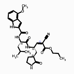 CCCOC(=O)/C(C#N)=C\[C@H](C[C@@H]1CCNC1=O)NC(=O)[C@H](CC(C)C)NC(=O)c1cc2c(OC)cccc2[nH]1